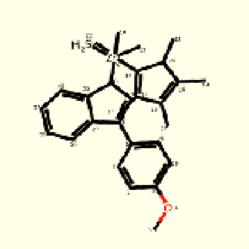 COc1ccc(C2=C[CH]([Zr]([CH3])([CH3])(=[SiH2])[C]3=C(C)C(C)=C(C)C3C)c3ccccc32)cc1